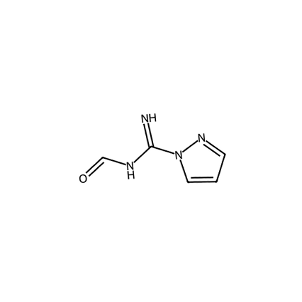 N=C(NC=O)n1cccn1